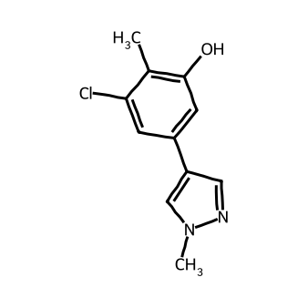 Cc1c(O)cc(-c2cnn(C)c2)cc1Cl